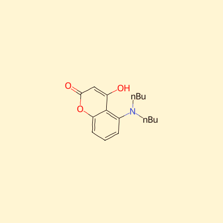 CCCCN(CCCC)c1cccc2oc(=O)cc(O)c12